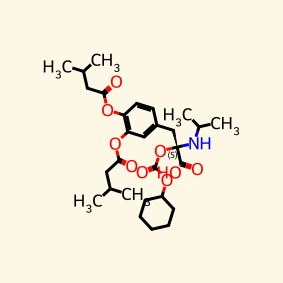 CC(C)CC(=O)Oc1ccc(C[C@](NC(C)C)(OC(=O)OC2CCCCC2)C(=O)O)cc1OC(=O)CC(C)C